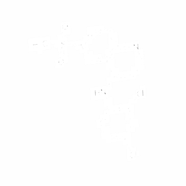 CS(=O)(=O)c1ccc2nccc(Nc3ccc(Cl)cc3Cl)c2c1